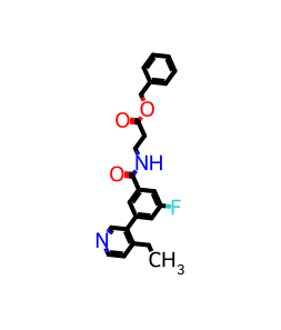 CCc1ccncc1-c1cc(F)cc(C(=O)NCCC(=O)OCc2ccccc2)c1